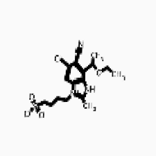 CCOC(C)c1c(C#N)c(Cl)cc2c1[nH]c(C)[n+]2CCCCS(=O)(=O)[O-]